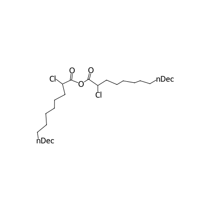 CCCCCCCCCCCCCCCCC(Cl)C(=O)OC(=O)C(Cl)CCCCCCCCCCCCCCCC